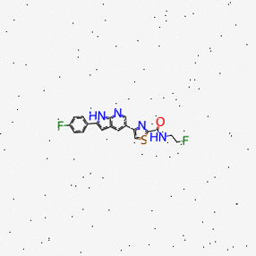 O=C(NCCF)c1nc(-c2cnc3[nH]c(-c4ccc(F)cc4)cc3c2)cs1